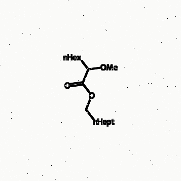 CCCCCCCCOC(=O)C(CCCCCC)OC